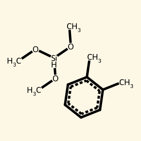 CO[SiH](OC)OC.Cc1ccccc1C